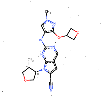 C[C@H]1COC[C@@H]1n1c(C#N)cc2cnc(Nc3cn(C)nc3OC3COC3)nc21